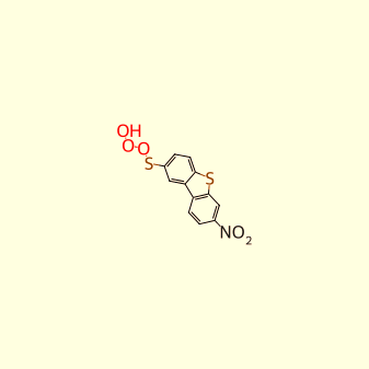 O=[N+]([O-])c1ccc2c(c1)sc1ccc(SOOO)cc12